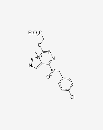 CCOC(=O)COC1=NN=C([S+]([O-])Cc2ccc(Cl)cc2)C2=CN=C[N+]21C